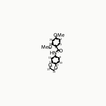 COc1ccc(C(=O)Nc2ccc3c(c2)OCCO3)c(OC)c1